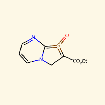 CCOC(=O)C1=S(=O)=C2N=CC=CN2C1